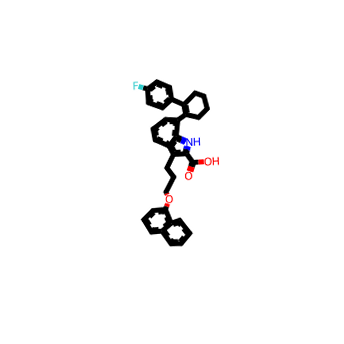 O=C(O)c1[nH]c2c(C3=C(c4ccc(F)cc4)CCCC3)cccc2c1CCCOc1cccc2ccccc12